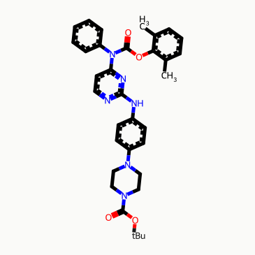 Cc1cccc(C)c1OC(=O)N(c1ccccc1)c1ccnc(Nc2ccc(N3CCN(C(=O)OC(C)(C)C)CC3)cc2)n1